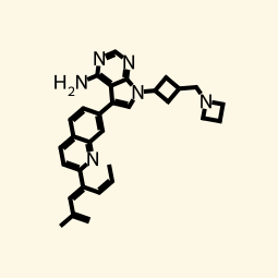 C=C(C)/C=C(\C=C/C)c1ccc2ccc(-c3cn(C4CC(CN5CCC5)C4)c4ncnc(N)c34)cc2n1